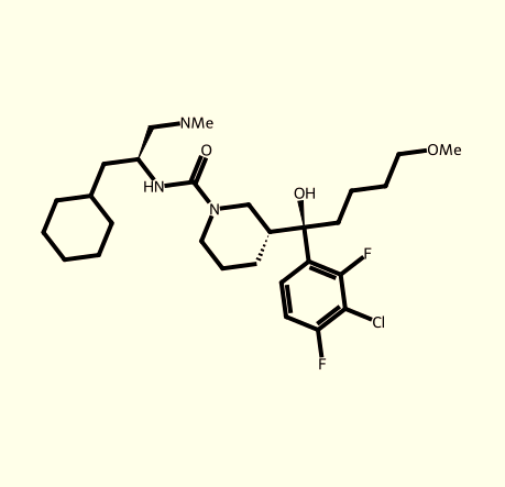 CNC[C@H](CC1CCCCC1)NC(=O)N1CCC[C@@H]([C@](O)(CCCCOC)c2ccc(F)c(Cl)c2F)C1